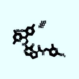 COc1cc(C)ccc1[C@@H](CNc1ncc2n(c1=O)[C@H](C(=O)NCc1ccc(N)nc1C)CC2)c1cc(C)cc(C)n1.Cl.Cl.Cl